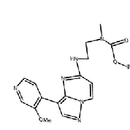 COc1cnccc1-c1cnn2ccc(NCCN(C)C(=O)OC(C)C)nc12